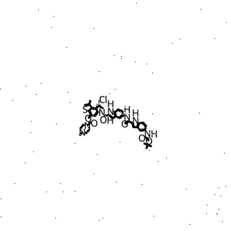 Cc1csc2c(OC(=O)N3CCN(C)CC3)cc3c(c12)[C@H](CCl)CN3C(O)c1cc2cc(NC(=O)c3cc4cc(NC(=O)OC(C)(C)C)ccc4[nH]3)ccc2[nH]1